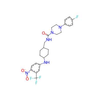 O=C(NCC1CCC(Nc2ccc([N+](=O)[O-])c(C(F)(F)F)c2)CC1)N1CCN(c2ccc(F)cc2)CC1